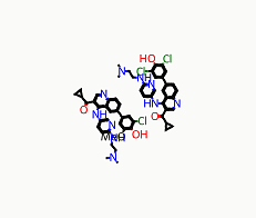 CN(C)CCNc1ccc(Nc2c(C(=O)C3CC3)cnc3ccc(-c4cc(Cl)c(O)c(Cl)c4)cc23)cn1.COc1cc(-c2ccc3ncc(C(=O)C4CC4)c(Nc4ccc(NCCN(C)C)nc4)c3c2)cc(Cl)c1O